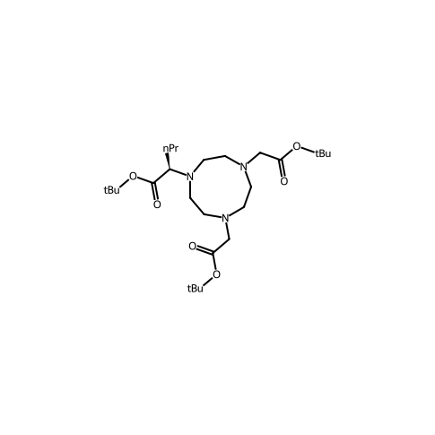 CCC[C@H](C(=O)OC(C)(C)C)N1CCN(CC(=O)OC(C)(C)C)CCN(CC(=O)OC(C)(C)C)CC1